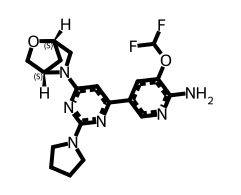 Nc1ncc(-c2cc(N3C[C@@H]4C[C@H]3CO4)nc(N3CCCC3)n2)cc1OC(F)F